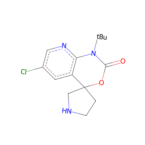 CC(C)(C)N1C(=O)OC2(CCNC2)c2cc(Cl)cnc21